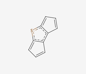 C1=Cc2c3c(sc2=C1)=CC=C3